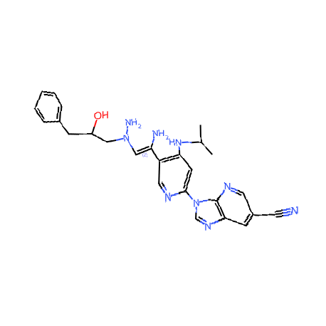 CC(C)Nc1cc(-n2cnc3cc(C#N)cnc32)ncc1/C(N)=C/N(N)CC(O)Cc1ccccc1